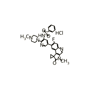 CN1CCN(c2ncc(-c3cc4c5c(cnc4cc3F)N(C)C(=O)C53CC3)cc2NS(=O)(=O)c2ccccc2)CC1.Cl